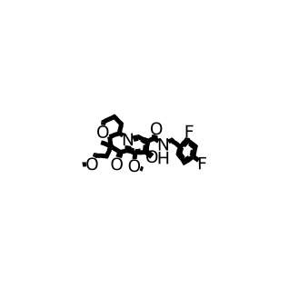 COCCC1(C)C(=O)c2c(OC)c(=O)c(C(=O)NCc3ccc(F)cc3F)cn2C2CCCOC21